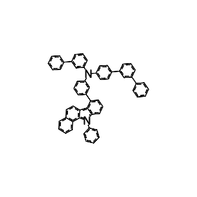 c1ccc(-c2cccc(-c3ccc(N(c4cccc(-c5ccccc5)c4)c4cccc(-c5cccc6c5c5ccc7ccccc7c5n6-c5ccccc5)c4)cc3)c2)cc1